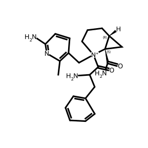 Cc1nc(N)ccc1C[N+]1(C(=O)C(N)Cc2ccccc2)CCC[C@@H]2C[C@@]21C(N)=O